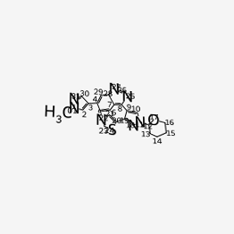 Cn1cc(-c2ccc3c(-c4cn(C5CCCCO5)nc4-c4cncs4)ncnc3c2)cn1